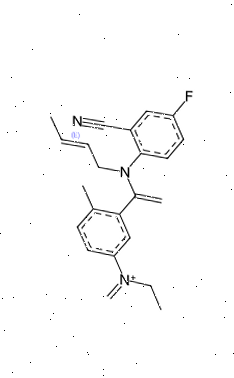 C=C(c1cc([N+](=C)CC)ccc1C)N(C/C=C/C)c1ccc(F)cc1C#N